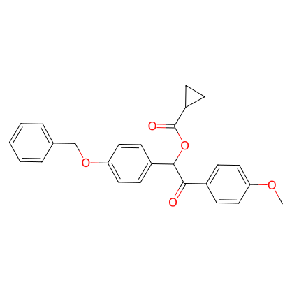 COc1ccc(C(=O)C(OC(=O)C2CC2)c2ccc(OCc3ccccc3)cc2)cc1